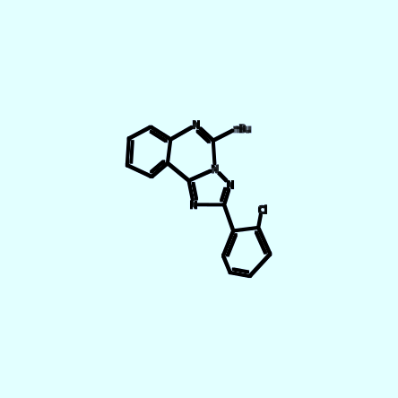 CCCCc1nc2ccccc2c2nc(-c3ccccc3Cl)nn12